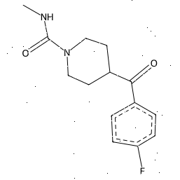 CNC(=O)N1CCC(C(=O)c2ccc(F)cc2)CC1